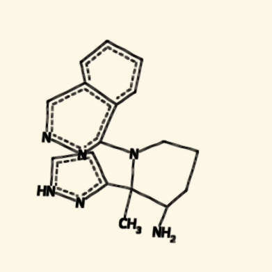 CC1(c2cc[nH]n2)C(N)CCCN1c1nncc2ccccc12